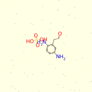 Nc1ccc(N)c(CC=O)c1.O=S(=O)(O)O